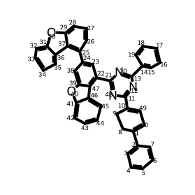 C1=C(c2ccccc2)CCC(c2nc(-c3ccccc3)nc(-c3cc(-c4cccc5oc6ccccc6c45)cc4oc5ccccc5c34)n2)=C1